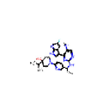 [C-]#[N+]c1cnc(NC(C)c2ccc(N3CCC(O)(C(C)C)CC3)nc2)nc1-c1c[nH]c2ncc(F)cc12